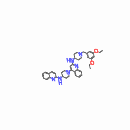 CCOc1cc(CN2CCC(Nc3cc(N4CCC(Nc5ccc6ccccc6n5)CC4)c4ccccc4n3)CC2)cc(OCC)c1